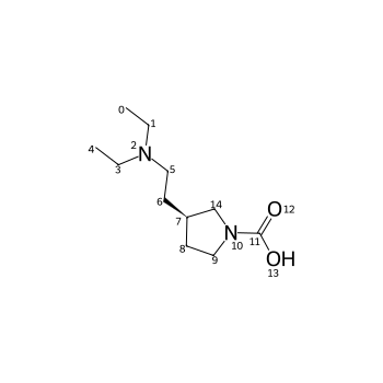 CCN(CC)CC[C@@H]1CCN(C(=O)O)C1